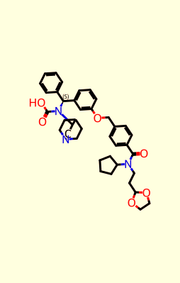 O=C(c1ccc(COc2cccc([C@H](c3ccccc3)N(C(=O)O)C3CN4CCC3CC4)c2)cc1)N(CCC1OCCO1)C1CCCC1